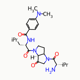 CC(C)C[C@H](NC(=O)c1ccc(N(C)C)cc1)C(=O)N1CCC2[C@H]1C(=O)CN2C(=O)[C@@H](N)C(C)C